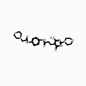 Cc1nc(N2CCOCC2)[nH]c(=O)c1CCC(=O)Nc1ccc(NC(=O)CN2CCOCC2)cc1